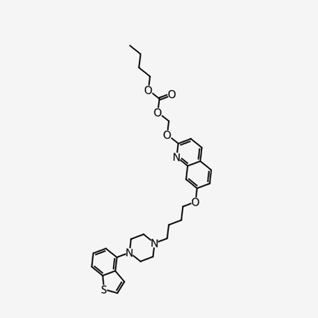 CCCCOC(=O)OCOc1ccc2ccc(OCCCCN3CCN(c4cccc5sccc45)CC3)cc2n1